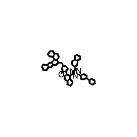 c1ccc(-c2ccc(-c3nc(-c4ccc5ccccc5c4)nc(-c4c5ccccc5cc5oc6cc(Cc7cc8cc9ccccc9cc8c8c7ccc7ccccc78)ccc6c45)n3)cc2)cc1